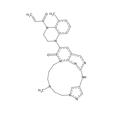 C=CC(=O)N1CCN(c2cc3cnc4nc3n(c2=O)CCCN(C)CCn2cc(cn2)N4)c2cccc(C)c21